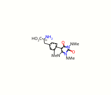 CNc1c(-c2ccc(C[C@H](N)C(=O)O)cc2C)c(=O)n(NC)c(=O)n1NC